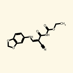 CCOC(=O)NC(=O)C(C#N)=CNc1ccc2c(c1)OCO2